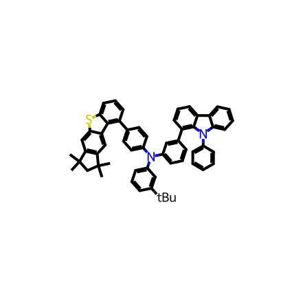 CC(C)(C)c1cccc(N(c2ccc(-c3cccc4sc5cc6c(cc5c34)C(C)(C)CC6(C)C)cc2)c2cccc(-c3cccc4c5ccccc5n(-c5ccccc5)c34)c2)c1